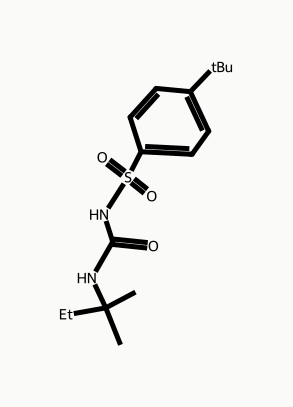 CCC(C)(C)NC(=O)NS(=O)(=O)c1ccc(C(C)(C)C)cc1